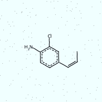 C/C=C\c1ccc(N)c(Cl)c1